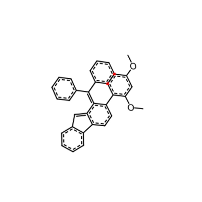 COc1ccc(-c2ccc3c(c2=C(c2ccccc2)c2ccccc2)=Cc2ccccc2-3)c(OC)c1